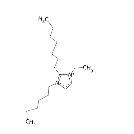 CCCCCCCc1n(CCCCCC)cc[n+]1CC